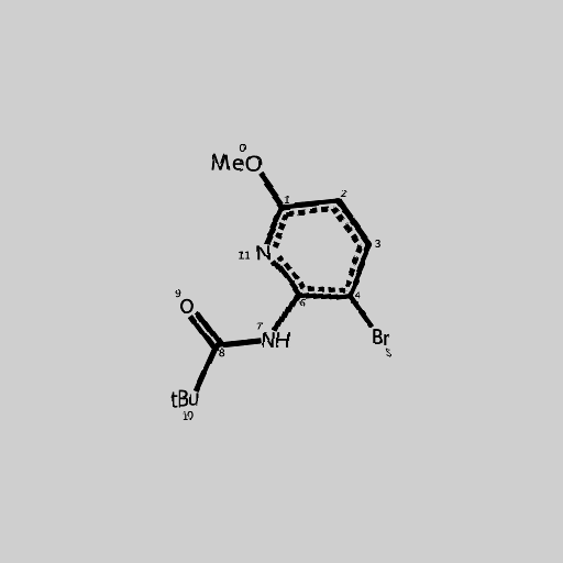 COc1ccc(Br)c(NC(=O)C(C)(C)C)n1